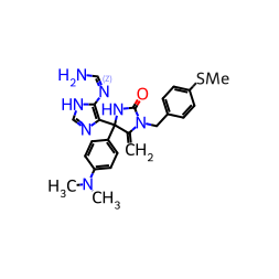 C=C1N(Cc2ccc(SC)cc2)C(=O)NC1(c1ccc(N(C)C)cc1)c1nc[nH]c1/N=C\N